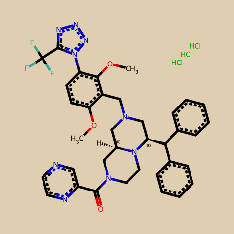 COc1ccc(-n2nnnc2C(F)(F)F)c(OC)c1CN1C[C@@H]2CN(C(=O)c3cnccn3)CCN2[C@H](C(c2ccccc2)c2ccccc2)C1.Cl.Cl.Cl